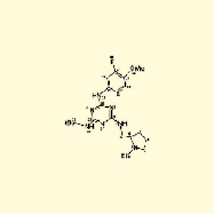 CCN1CCCC1CNc1nc(Nc2ccc(OC)c(F)c2)nc(NC(C)(C)C)n1